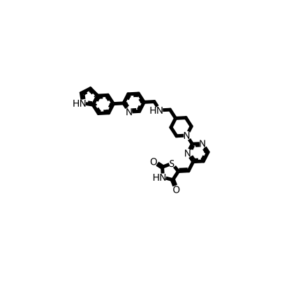 O=C1NC(=O)C(=Cc2ccnc(N3CCC(CNCc4ccc(-c5ccc6[nH]ccc6c5)nc4)CC3)n2)S1